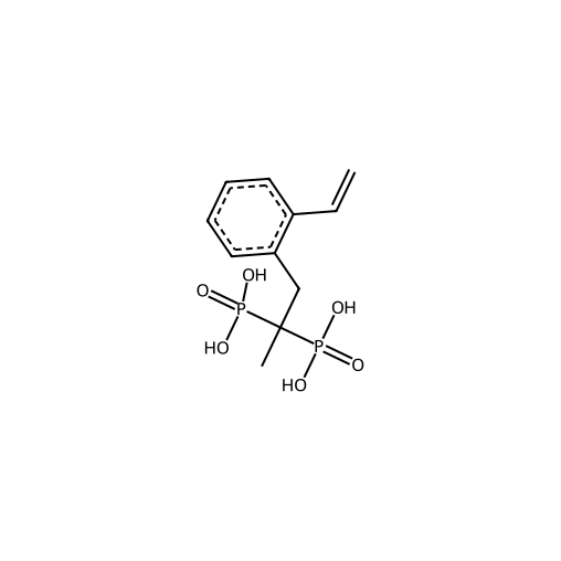 C=Cc1ccccc1CC(C)(P(=O)(O)O)P(=O)(O)O